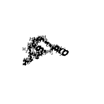 CC[C@H](C)[C@@H]([C@@H](CC(=O)N1CCC[C@H]1[C@H](OC)[C@@H](C)C(=O)N[C@H](CN)Cc1ccc(NC(=O)[C@H](CC(N)=O)NC(=O)[C@H](C)NC(=O)[C@H](C)NC(=O)CCOCCOCCNC(=O)c2ccc3nc4c(nc3c2)CSC2CCCCCC(C2)SC4)cc1)OC)N(C)C(=O)[C@@H](NC(=O)C(C(C)C)N(C)C)C(C)C